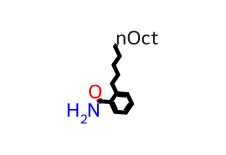 CCCCCCCCCCCCCc1ccccc1C(N)=O